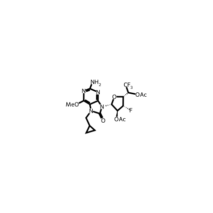 COc1nc(N)nc2c1n(CC1CC1)c(=O)n2[C@@H]1O[C@H](C(OC(C)=O)C(F)(F)F)[C@H](F)[C@H]1OC(C)=O